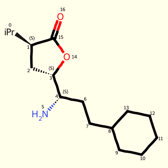 CC(C)[C@@H]1C[C@@H]([C@@H](N)CCC2CCCCC2)OC1=O